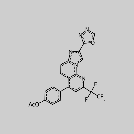 CC(=O)Oc1ccc(-c2cc(C(F)(F)C(F)(F)F)nc3c2ccc2nc(-c4nnco4)cn23)cc1